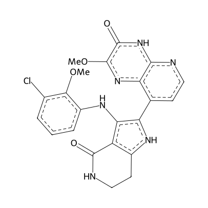 COc1c(Cl)cccc1Nc1c(-c2ccnc3[nH]c(=O)c(OC)nc23)[nH]c2c1C(=O)NCC2